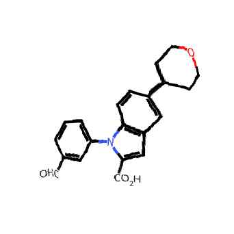 O=Cc1cccc(-n2c(C(=O)O)cc3cc(C4CCOCC4)ccc32)c1